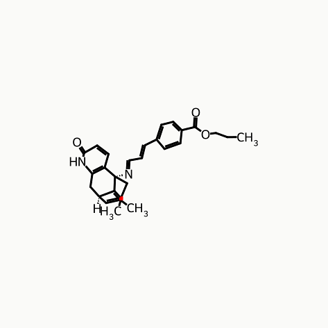 C/C=C1\[C@H]2C=C(C)C[C@]1(/N=C/C=C/c1ccc(C(=O)OCCC)cc1)c1ccc(=O)[nH]c1C2